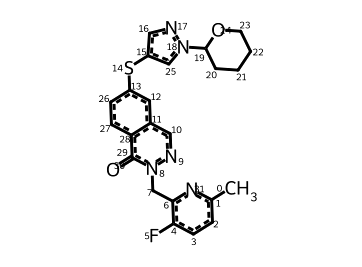 Cc1ccc(F)c(Cn2ncc3cc(Sc4cnn(C5CCCCO5)c4)ccc3c2=O)n1